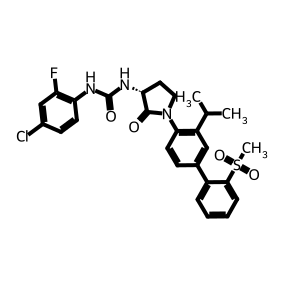 CC(C)c1cc(-c2ccccc2S(C)(=O)=O)ccc1N1CC[C@@H](NC(=O)Nc2ccc(Cl)cc2F)C1=O